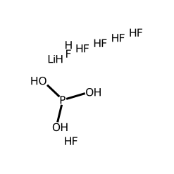 F.F.F.F.F.F.OP(O)O.[LiH]